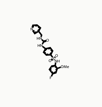 COc1cc(F)ccc1NS(=O)(=O)c1ccc(NC(=O)NCc2cccnc2)cc1